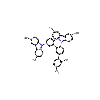 CC(C)(C)c1ccc2c(c1)c1cc(C(C)(C)C)ccc1n2-c1ccc(C#N)c(-c2cc(-c3ccc(C(F)(F)F)cc3C(F)(F)F)ccc2-n2c3ccc(C(C)(C)C)cc3c3cc(C(C)(C)C)ccc32)c1